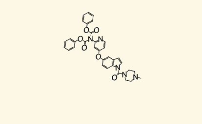 CN1CCN(C(=O)n2ccc3cc(Oc4ccnc(N(C(=O)Oc5ccccc5)C(=O)Oc5ccccc5)c4)ccc32)CC1